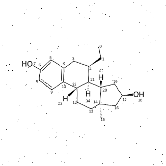 CC[C@@H]1Cc2cc(O)ccc2[C@H]2CC[C@]3(C)C[C@H](O)C[C@H]3[C@H]12